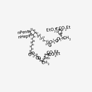 C=C(COOCCOC(=O)CCCCCCCCC1CCC(CCCCC)C(CCCCCCC)C1CCCCCCCCC(=O)OCCOOCC(=C)C1C2CC(C(=O)OCC)(C(=O)OCC)CC21)C1C2CC(C(=O)OCC)(C(=O)OCC)CC21